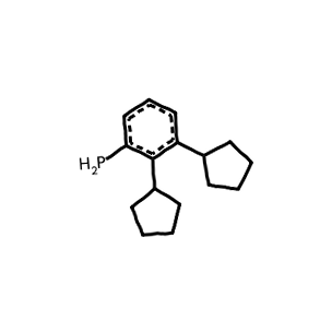 Pc1cccc(C2CCCC2)c1C1CCCC1